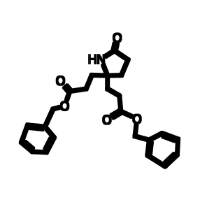 O=C1CCC(CCC(=O)OCc2ccccc2)(CCC(=O)OCc2ccccc2)N1